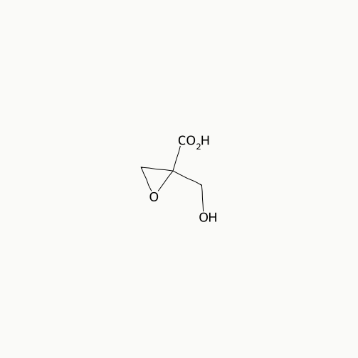 O=C(O)C1(CO)CO1